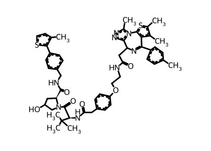 Cc1ccc(C2=NC(CC(=O)NCCOc3ccc(CC(=O)N[C@H](C(=O)N4CC(O)C[C@H]4C(=O)NCc4ccc(-c5sccc5C)cc4)C(C)(C)C)cc3)c3nnc(C)n3-c3sc(C)c(C)c32)cc1